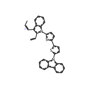 C=Cc1c(/C=C\C)c2ccccc2n1-c1ccc(-c2ccc(-n3c4ccccc4c4ccccc43)s2)s1